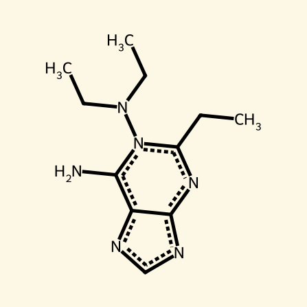 CCc1nc2ncnc-2c(N)n1N(CC)CC